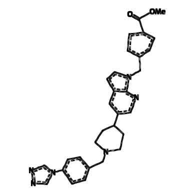 COC(=O)c1ccc(Cn2ccc3cc(C4CCN(Cc5ccc(-n6cnnc6)cc5)CC4)cnc32)cc1